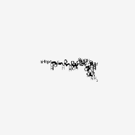 CCCCCCC[C@H](O)CC(=O)SCCNC(=O)CCNC(=O)[C@H](O)C(C)(C)COP(=O)(O)OP(=O)(O)OC[C@H]1O[C@@H](n2cnc3c(N)ncnc32)C(O)[C@H]1OP(=O)(O)O